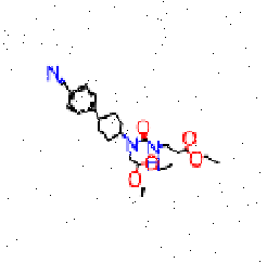 CCOC(=O)CCNC(=O)N(CC(OCC)OCC)C1CCC(c2ccc(C#N)cc2)CC1